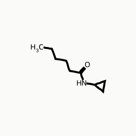 CCCCCC(=O)NC1CC1